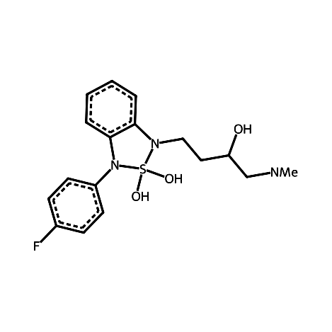 CNCC(O)CCN1c2ccccc2N(c2ccc(F)cc2)S1(O)O